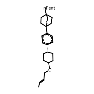 C/C=C/CO[C@H]1CC[C@H](c2ccc(C34CCC(CCCCC)(CC3)CC4)cc2)CC1